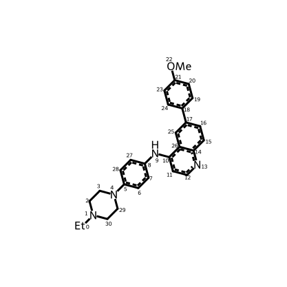 CCN1CCN(c2ccc(Nc3ccnc4ccc(-c5ccc(OC)cc5)cc34)cc2)CC1